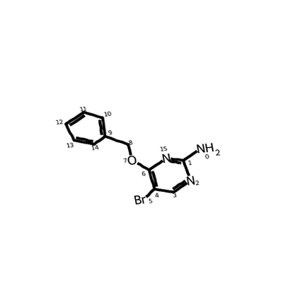 Nc1ncc(Br)c(OCc2ccccc2)n1